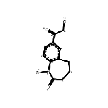 CC(C)N1C(=O)CCCc2cc(C(=O)CCl)ccc21